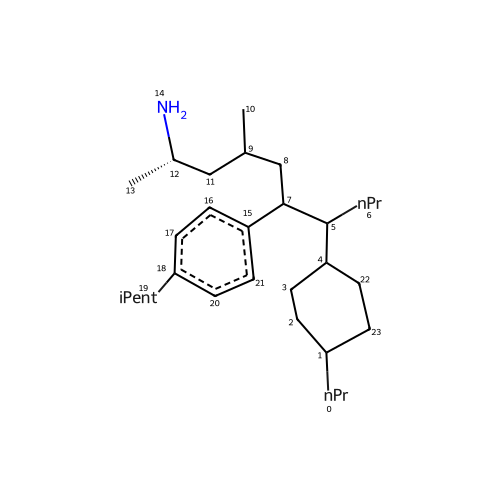 CCCC1CCC(C(CCC)C(CC(C)C[C@H](C)N)c2ccc(C(C)CCC)cc2)CC1